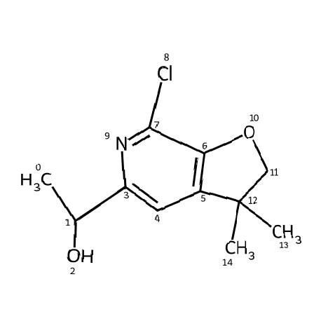 CC(O)c1cc2c(c(Cl)n1)OCC2(C)C